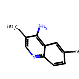 CCCCc1ccc2ncc(C(=O)O)c(N)c2c1